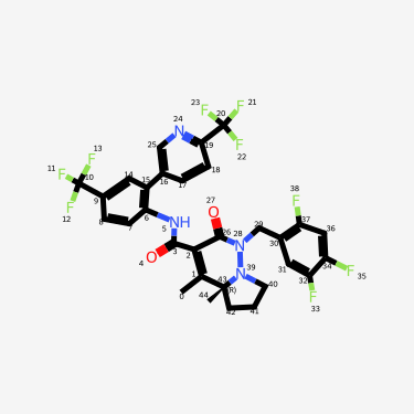 CC1=C(C(=O)Nc2ccc(C(F)(F)F)cc2-c2ccc(C(F)(F)F)nc2)C(=O)N(Cc2cc(F)c(F)cc2F)N2CCC[C@]12C